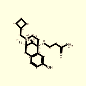 C[C@H]1[C@H]2Cc3ccc(O)cc3[C@]1(CCCC(N)=O)CCN2CC1CCC1